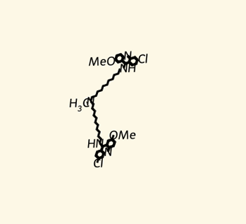 COc1ccc2nc3cc(Cl)ccc3c(NCCCCCCCCCCCN(C)CCCCCCCCCCCNc3c4ccc(Cl)cc4nc4ccc(OC)cc34)c2c1